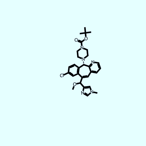 COC(C1=Cc2cccnc2[C@@H](N2CCN(C(=O)OC(C)(C)C)CC2)c2ccc(Cl)cc21)c1cn(C)cn1